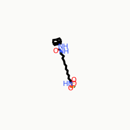 CS(=O)(=O)NC(=O)CCCCCCCCCCCNC(=O)NC12CC3CC(CC(C3)C1)C2